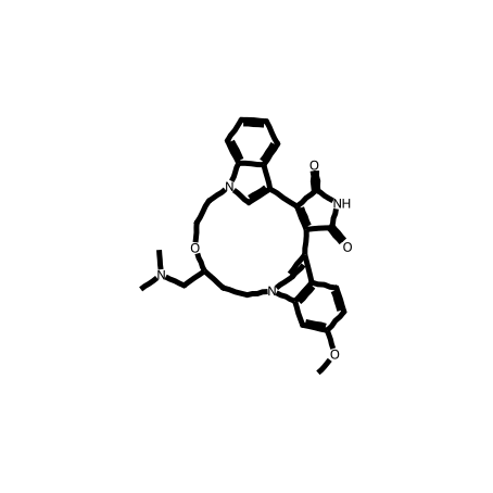 COc1ccc2c3cn(c2c1)CCC(CN(C)C)OCCn1cc(c2ccccc21)C1=C3C(=O)NC1=O